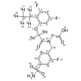 [2H]C([2H])(Oc1cc(F)cc(F)c1C([2H])([2H])C([2H])([2H])[2H])C(=O)N(CC(=O)O)Cc1ccc(S(N)(=O)=O)cc1F